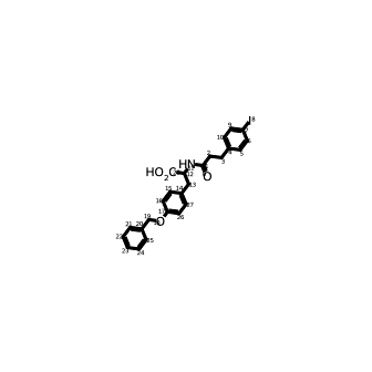 O=C(CCc1ccc(I)cc1)NC(Cc1ccc(OCc2ccccc2)cc1)C(=O)O